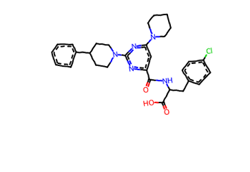 O=C(NC(Cc1ccc(Cl)cc1)C(=O)O)c1cc(N2CCCCC2)nc(N2CCC(c3ccccc3)CC2)n1